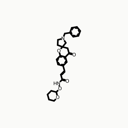 O=C(/C=C/c1ccc2c(c1)C(=O)CC1(CCN(Cc3ccccc3)C1)O2)NOC1CCCCO1